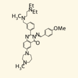 CCN(CC)CCN(C)Cc1cccc(-c2nc3ccc(N4CCCN(C)CC4)cc3c(=O)n2/N=C/c2ccc(OC)cc2)c1